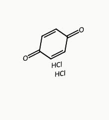 Cl.Cl.O=C1C=CC(=O)C=C1